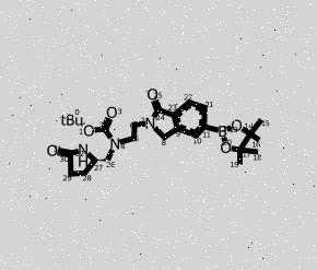 CC(C)(C)OC(=O)N(CCN1Cc2cc(B3OC(C)(C)C(C)(C)O3)ccc2C1=O)C[C@@H]1CCC(=O)N1